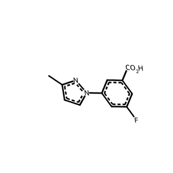 Cc1ccn(-c2cc(F)cc(C(=O)O)c2)n1